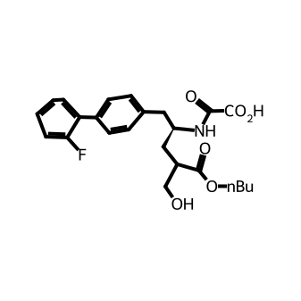 CCCCOC(=O)C(CO)C[C@@H](Cc1ccc(-c2ccccc2F)cc1)NC(=O)C(=O)O